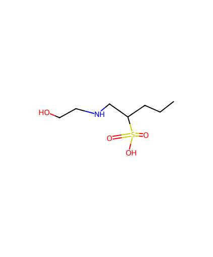 CCCC(CNCCO)S(=O)(=O)O